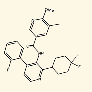 COc1ncc(C(=O)Nc2c(-c3ccccc3F)ccnc2C2CCC(F)(F)CC2)cc1C